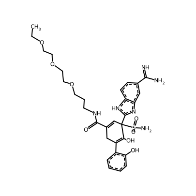 CCOCCOCCOCCCNC(=O)C1=CC(c2nc3cc(C(=N)N)ccc3[nH]2)(S(N)(=O)=O)C(O)=C(c2ccccc2O)C1